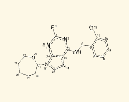 Fc1nc(NCc2ccccc2Cl)c2ncn(C3CCCCCO3)c2n1